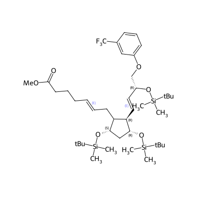 COC(=O)CCC/C=C/CC1[C@@H](O[Si](C)(C)C(C)(C)C)C[C@@H](O[Si](C)(C)C(C)(C)C)[C@@H]1/C=C/[C@H](COc1cccc(C(F)(F)F)c1)O[Si](C)(C)C(C)(C)C